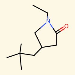 CCN1CC(CC(C)(C)C)CC1=O